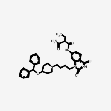 CCC(C(N)=O)C(=O)Nc1ccc2c(=O)[nH]c(=O)n(CCCCN3CCC(OC(c4ccccc4)c4ccccc4)CC3)c2c1